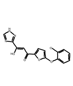 O=C(C=C(O)c1nc[nH]n1)c1ccc(Oc2ccccc2Cl)o1